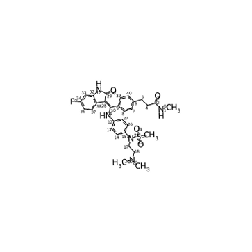 CNC(=O)CCc1ccc(C(Nc2ccc(N(CCN(C)C)S(C)(=O)=O)cc2)=C2C(=O)Nc3cc(F)ccc32)cc1